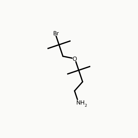 CC(C)(Br)COC(C)(C)CCN